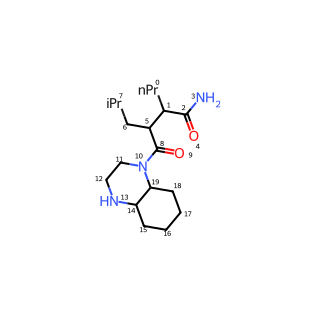 CCCC(C(N)=O)C(CC(C)C)C(=O)N1CCNC2CCCCC21